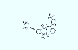 CC(C)N1C(=O)C(c2ccccc2)N(C(C)CC(=O)OC(=O)C(F)(F)F)C(=O)c2cc(C#CC(S)CN)ccc21